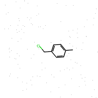 Cc1ccc([CH]Cl)cc1